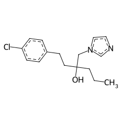 CCCC(O)(CCc1ccc(Cl)cc1)Cn1ccnc1